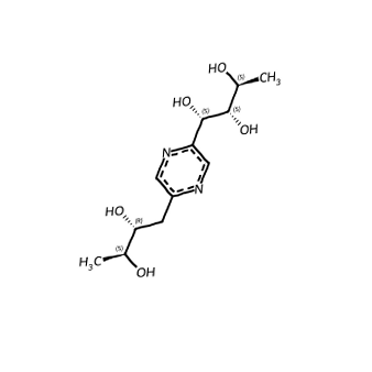 C[C@H](O)[C@H](O)[C@@H](O)c1cnc(C[C@@H](O)[C@H](C)O)cn1